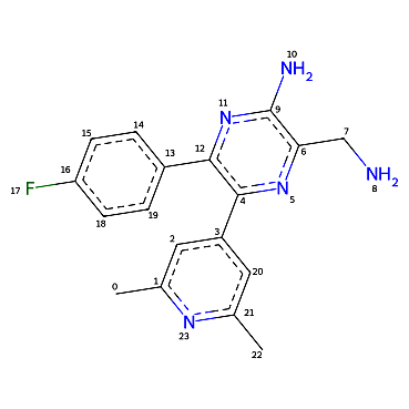 Cc1cc(-c2nc(CN)c(N)nc2-c2ccc(F)cc2)cc(C)n1